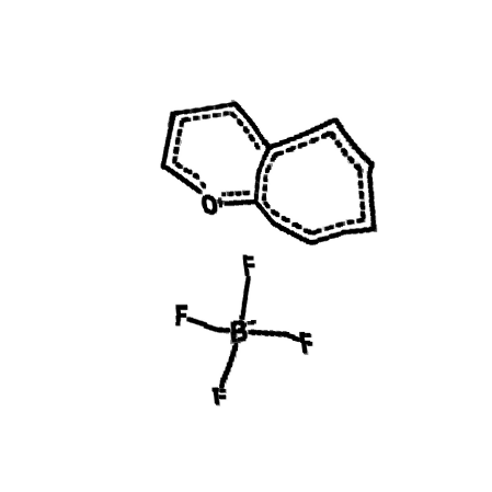 F[B-](F)(F)F.c1ccc2[o+]cccc2c1